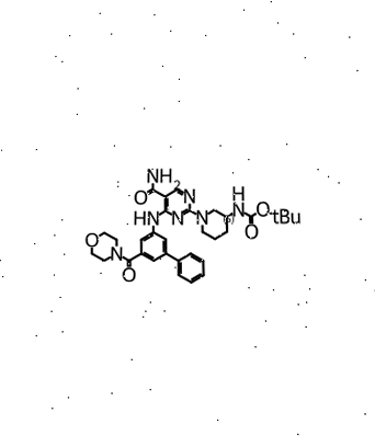 CC(C)(C)OC(=O)N[C@H]1CCCN(c2ncc(C(N)=O)c(Nc3cc(C(=O)N4CCOCC4)cc(-c4ccccc4)c3)n2)C1